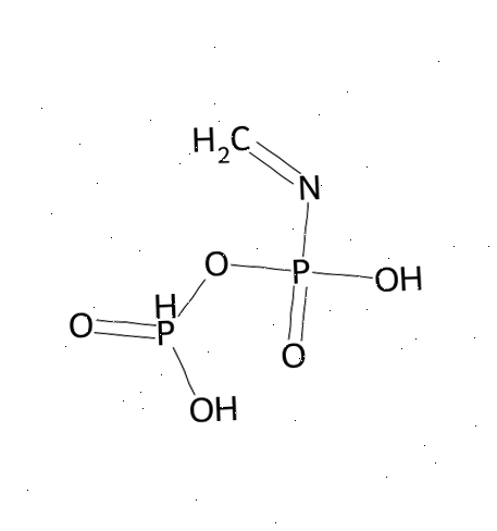 C=NP(=O)(O)O[PH](=O)O